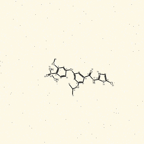 COc1cc(Oc2cc(OC(C)C)cc(C(=O)Nc3ncc(Cl)s3)c2)ccc1P(=O)(O)O